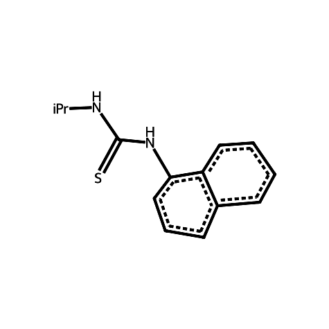 CC(C)NC(=S)Nc1cccc2ccccc12